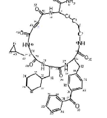 NC(=O)C1CCCCNC(=O)C(Cc2ccc(C(=O)c3ccccc3)cc2)NC(=O)C(CC2CCCCC2)NC(=O)[C@H](CC2CC2)NC(=O)/C=C/C(=O)N1